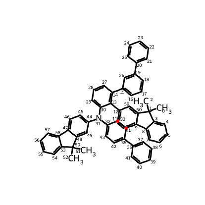 CC1(C)c2ccccc2-c2ccc(-c3c(-c4cccc(-c5ccccc5)c4)cccc3N(c3ccc(-c4ccccc4)cc3)c3ccc4c(c3)C(C)(C)c3ccccc3-4)cc21